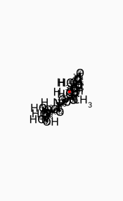 C[C@@H]1C[C@H]2[C@@H]3CCC4=CC(=O)C=C[C@]4(C)[C@@]3(F)[C@@H](O)C[C@]2(C)[C@@]1(O)C(=O)COC(=O)CC(N)C(=O)OCC(CON(O)O)ON(O)O